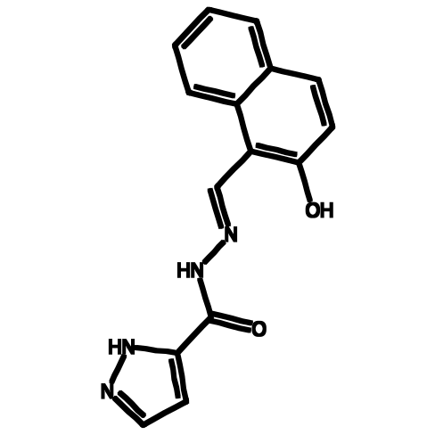 O=C(N/N=C/c1c(O)ccc2ccccc12)c1ccn[nH]1